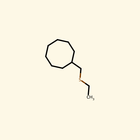 CCSCC1CCCCCCC1